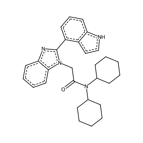 O=C(Cn1c(-c2cccc3[nH]ccc23)nc2ccccc21)N(C1CCCCC1)C1CCCCC1